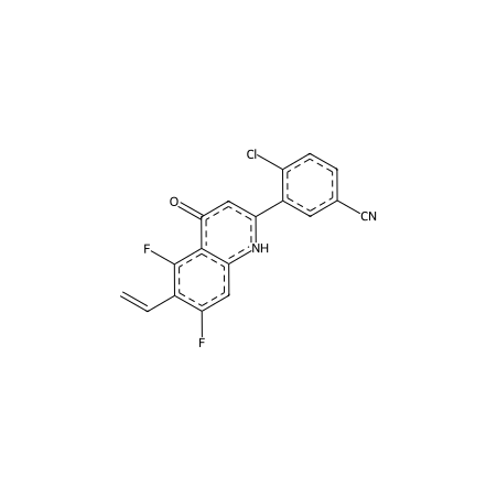 C=Cc1c(F)cc2[nH]c(-c3cc(C#N)ccc3Cl)cc(=O)c2c1F